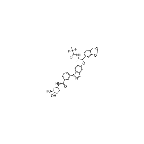 C[C@H](NC(=O)C(C)(F)F)[C@H](Oc1ccc2c(cnn2-c2cccc(C(=O)N[C@H]3CCS(O)(O)C3)c2)c1)c1ccc2c(c1)OCOC2